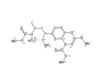 CC(CC(c1ccc(OC(=O)OC(C)(C)C)c(OC(=O)OC(C)(C)C)c1)[C@H](N)C(=O)O)OC(=O)OC(C)(C)C